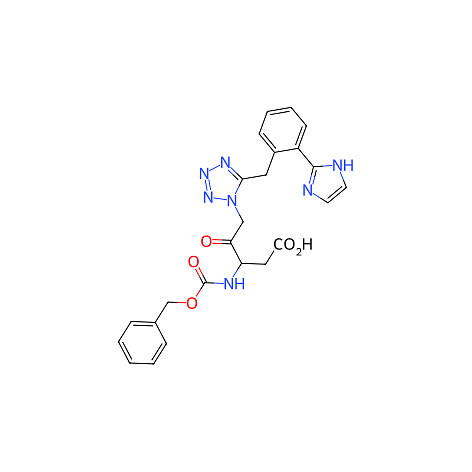 O=C(O)CC(NC(=O)OCc1ccccc1)C(=O)Cn1nnnc1Cc1ccccc1-c1ncc[nH]1